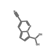 N#Cc1cnn2c(B(O)O)ccc2c1